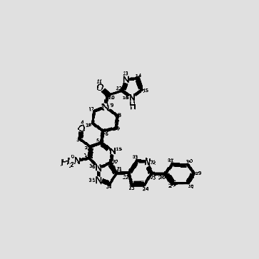 Nc1c(C=O)c(C2CCN(C(=O)c3ncc[nH]3)CC2)nc2c(-c3ccc(-c4ccccc4)nc3)cnn12